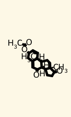 CC(=O)OC1C=C[C@@]2(C)C(=CC(=O)[C@@H]3[C@H]2CC[C@]2(C)C(=O)CC[C@@H]32)C1